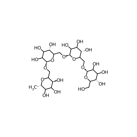 C[C@@H]1OC(CO[C@@H]2OC(CO[C@@H]3OC(CO[C@@H]4OC(CO)[C@@H](O)C(O)C4O)[C@@H](O)C(O)C3O)[C@@H](O)C(O)C2O)[C@@H](O)C(O)C1O